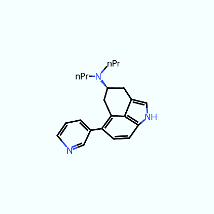 CCCN(CCC)[C@H]1Cc2c[nH]c3ccc(-c4cccnc4)c(c23)C1